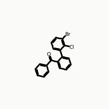 O=C(c1ccccc1)c1ccccc1-c1cccc(Br)c1Cl